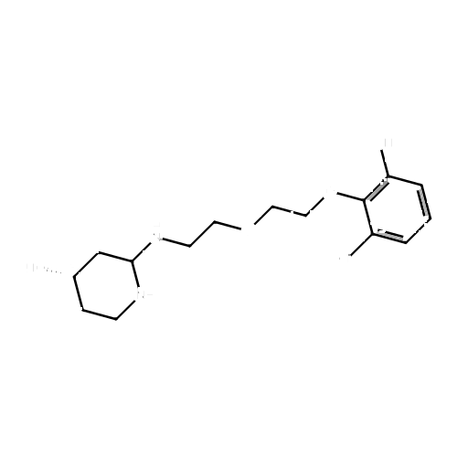 Cc1cccc(Cl)c1OCCOCCNC1C[C@@H](O)CCN1